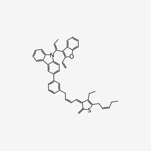 C=Cc1oc2ccccc2c1/C(=C\C)n1c2ccccc2c2cc(-c3cccc(C/C=C\C=c4\c(CC)c(C/C=C\CC)sc4=C)c3)ccc21